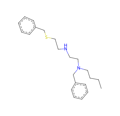 CCCCN(CCNCCSCc1ccccc1)Cc1ccccc1